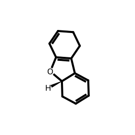 C1=CC[C@@H]2OC3=C(CCC=C3)C2=C1